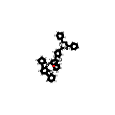 C1=C(c2ccccc2)NC(c2ccc3c(c2)oc2ccc(-n4c5ccccc5c5ccc6c7ccccc7n(-c7ccccc7)c6c54)cc23)N=C1c1ccccc1